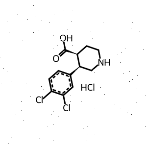 Cl.O=C(O)[C@H]1CCNC[C@H]1c1ccc(Cl)c(Cl)c1